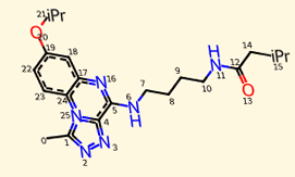 Cc1nnc2c(NCCCCNC(=O)CC(C)C)nc3cc(OC(C)C)ccc3n12